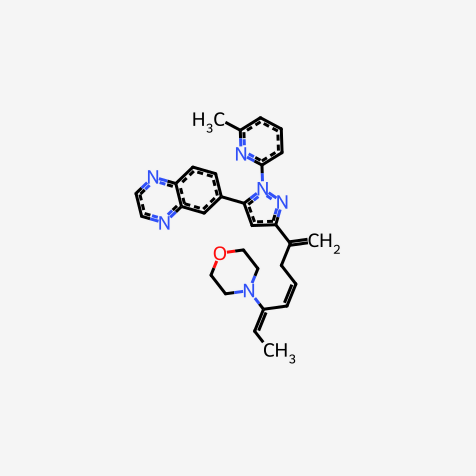 C=C(C/C=C\C(=C/C)N1CCOCC1)c1cc(-c2ccc3nccnc3c2)n(-c2cccc(C)n2)n1